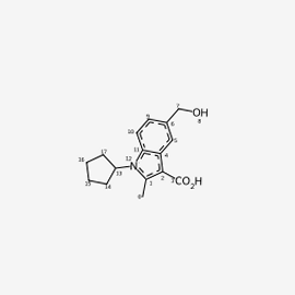 Cc1c(C(=O)O)c2cc(CO)ccc2n1C1CCCC1